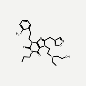 CCCn1c(=O)c2c(nc(Cc3cnoc3)n2CCN(CC)CCO)n(CCc2ccccc2N)c1=O